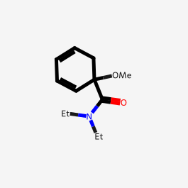 CCN(CC)C(=O)C1(OC)C=CC=CC1